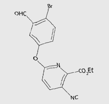 [C-]#[N+]c1ccc(Oc2ccc(Br)c(C=O)c2)nc1C(=O)OCC